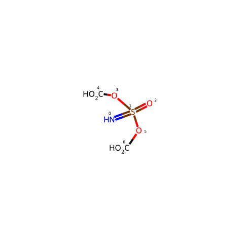 N=S(=O)(OC(=O)O)OC(=O)O